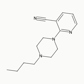 CCCCN1CCN(c2ncccc2C#N)CC1